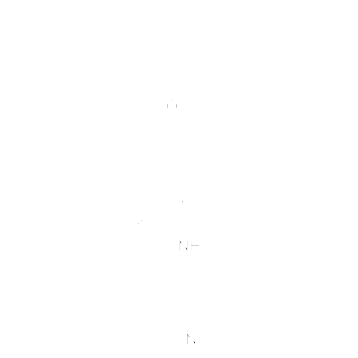 CCCCOC(=O)CCSC(=S)NCc1cccnc1